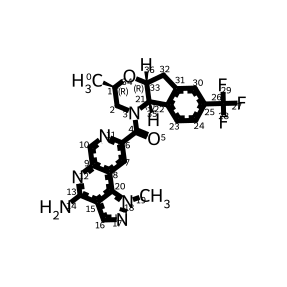 C[C@@H]1CN(C(=O)c2cc3c(cn2)nc(N)c2cnn(C)c23)[C@H]2c3ccc(C(F)(F)F)cc3C[C@H]2O1